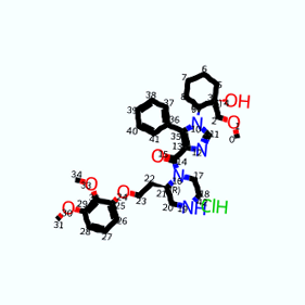 COC[C@]1(O)CCCC[C@H]1n1cnc(C(=O)N2CCNC[C@H]2CCOc2cccc(OC)c2OC)c1-c1ccccc1.Cl